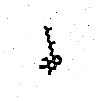 COc1c(O)c(=O)oc2cccc(OC/C=C(\C)CCC=C(C)C)c12